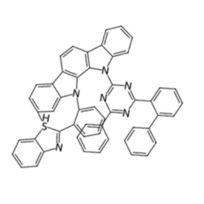 c1ccc(-c2nc(-c3ccccc3-c3ccccc3)nc(-n3c4ccccc4c4ccc5c6ccc7cc6n(c5c43)-c3ccccc3C3=Nc4ccccc4[SH]37)n2)cc1